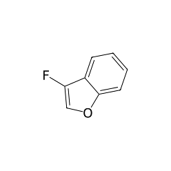 Fc1coc2ccccc12